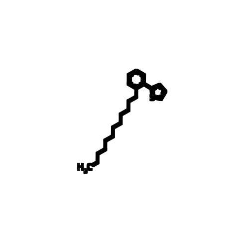 CCCCCCCCCCCCc1ccccc1-c1cccs1